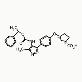 Cc1noc(-c2ccc(O[C@H]3CC[C@H](C(=O)O)C3)cc2)c1NC(=O)OC(C)c1ccccc1